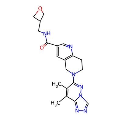 Cc1c(N2CCc3ncc(C(=O)NCC4COC4)cc3C2)nn2cnnc2c1C